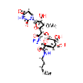 CO[C@H]1[C@@H](O)[C@H](n2ccc(=O)[nH]c2=O)O[C@@H]1[C@@H](O[C@H]1OC(C(=O)NCCCSC)=C[C@H](O)[C@@H]1O)C(N)=O